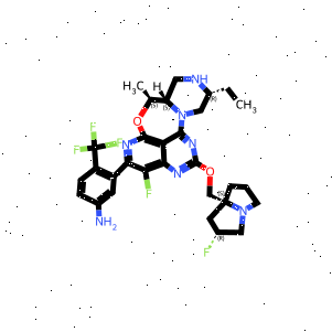 CC[C@@H]1CN2c3nc(OC[C@@]45CCCN4C[C@H](F)C5)nc4c(F)c(-c5cc(N)ccc5C(F)(F)F)nc(c34)O[C@@H](C)[C@@H]2CN1